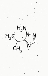 CC(C)c1ncnn1N